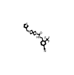 N#Cc1ccc(CNC(=O)N2CC3(CN(Cc4ccsc4)C3)C2)c(C(F)(F)F)c1